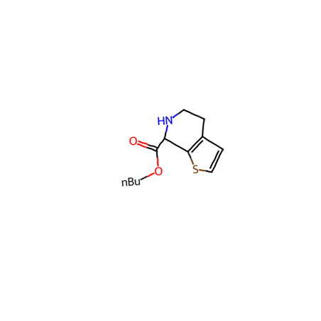 CCCCOC(=O)C1NCCc2ccsc21